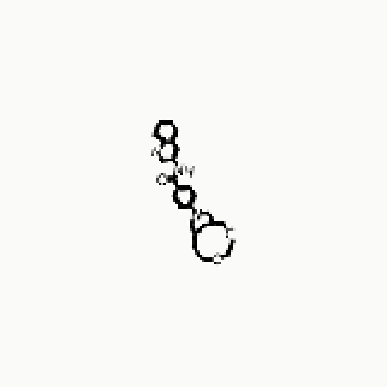 O=C(Nc1cnc2ccccc2c1)c1ccc(N2CC3CCCCCCCCC(C3)C2)cc1